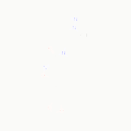 Cn1ncc2cccc(C3CCCN3C(=O)c3cc(-c4ccc5c(c4)OCO5)on3)c21